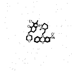 CCc1c(C)[nH]c2c1C(=O)C(CN1CCOCC1)CC2.CN1CCCCC1CCN1c2ccccc2Sc2ccc([S+](C)[O-])cc21